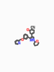 N#CC1=CC=C(c2cn(C3CCCCO3)nc2-c2cccc(OCc3ccccn3)c2)CC1=O